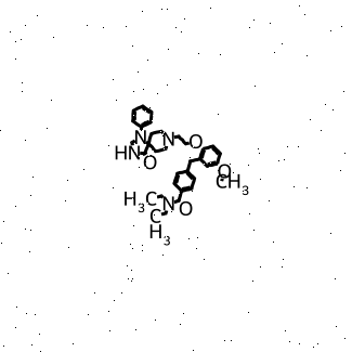 CCN(CC)C(=O)c1ccc(Cc2cc(OC)ccc2OCCN2CCC3(CC2)C(=O)NCN3c2ccccc2)cc1